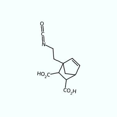 O=C=NCCC12C=CC(C1)C(C(=O)O)C2C(=O)O